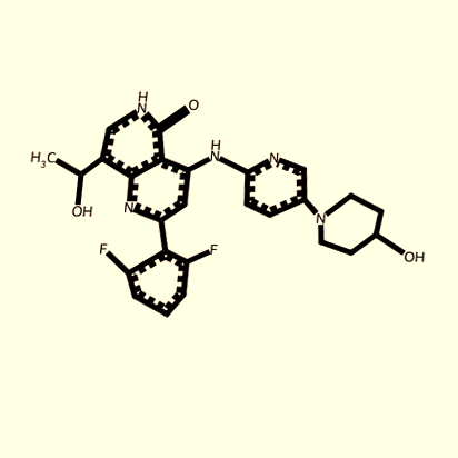 CC(O)c1c[nH]c(=O)c2c(Nc3ccc(N4CCC(O)CC4)cn3)cc(-c3c(F)cccc3F)nc12